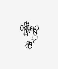 CC1(C)OB(C=C2CCC3(CC2)CN(C(=O)N2CC[C@@H]4OCC(=O)N[C@@H]4C2)C3)OC1(C)C